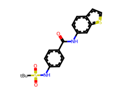 CC(C)(C)S(=O)(=O)Nc1ccc(C(=O)Nc2ccc3ccsc3c2)cc1